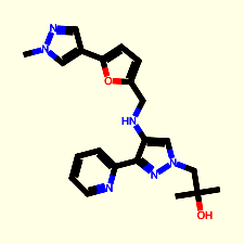 Cn1cc(-c2ccc(CNc3cn(CC(C)(C)O)nc3-c3ccccn3)o2)cn1